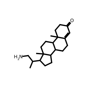 CC(CN)C1CCC2C3CCC4=CC(=O)CCC4(C)C3CCC12C